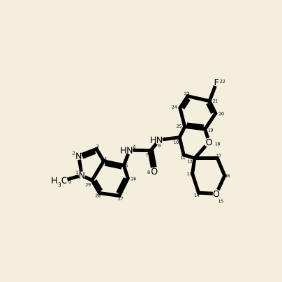 Cn1ncc2c(NC(=O)NC3CC4(CCOCC4)Oc4cc(F)ccc43)cccc21